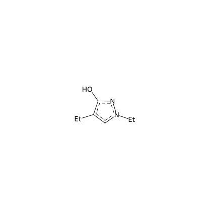 CCc1cn(CC)nc1O